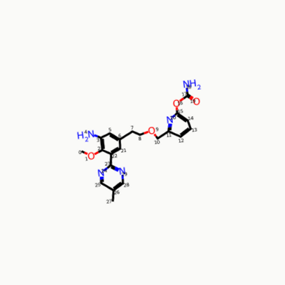 COc1c(N)cc(CCOCc2cccc(OC(N)=O)n2)cc1-c1ncc(C)cn1